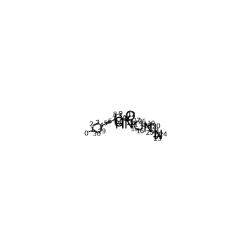 Cc1ccc(C#Cc2ccc(C(=O)Nc3ccc(N4CCC(N(C)C)C4)cc3)o2)cc1